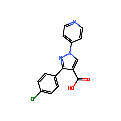 O=C(O)c1cn(-c2ccncc2)nc1-c1ccc(Cl)cc1